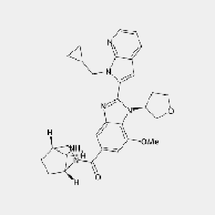 COc1cc(C(=O)N2C[C@H]3CC[C@@H]2[C@@H]3N)cc2nc(-c3cc4cccnc4n3CC3CC3)n([C@H]3CCOC3)c12